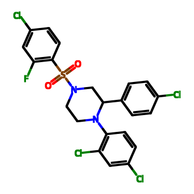 O=S(=O)(c1ccc(Cl)cc1F)N1CCN(c2ccc(Cl)cc2Cl)C(c2ccc(Cl)cc2)C1